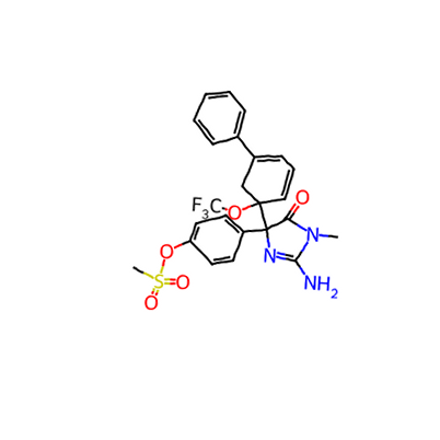 CN1C(=O)C(c2ccc(OS(C)(=O)=O)cc2)(C2(OC(F)(F)F)C=CC=C(c3ccccc3)C2)N=C1N